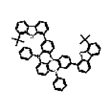 CC(C)(C)c1cccc2c1oc1c(-c3ccc4c(c3)N(c3ccccc3)c3cccc5c3B4c3ccc(-c4cccc6c4oc4c(C(C)(C)C)cccc46)cc3N5c3ccccc3)cccc12